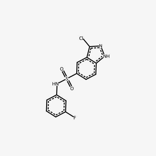 O=S(=O)(Nc1cccc(F)c1)c1ccc2[nH]nc(Cl)c2c1